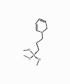 CO[Si](CCCN1C=CC=CC1)(OC)OC